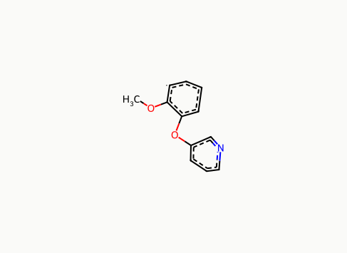 COc1[c]cccc1Oc1cccnc1